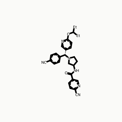 CCC(CC)Oc1ccc([C@@H](c2ccc(C#N)cc2)N2CCC(NC(=O)c3ccc(C#N)nc3)C2)cn1